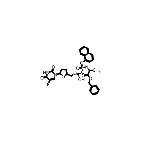 CC(NP(=O)(Oc1cccc2ccccc12)OP(O)OCC1CCC(n2cc(F)c(=O)[nH]c2=O)O1)C(=O)OCc1ccccc1